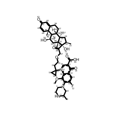 COc1c(N2CCNC(C)C2)c(F)cc2c(=O)c(C(=O)O)cn(C3(CCOCC(=O)[C@]4(O)[C@H](C)C[C@@H]5[C@H]6CCC7=CC(=O)C=C[C@@]7(C)[C@]6(F)[C@H](O)C[C@]54C)CC3)c12